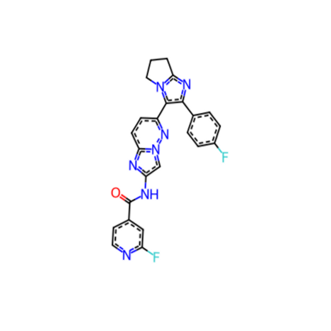 O=C(Nc1cn2nc(-c3c(-c4ccc(F)cc4)nc4n3CCC4)ccc2n1)c1ccnc(F)c1